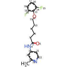 Cc1cc(NC(=O)CCCCCOc2c(F)cccc2F)ccn1